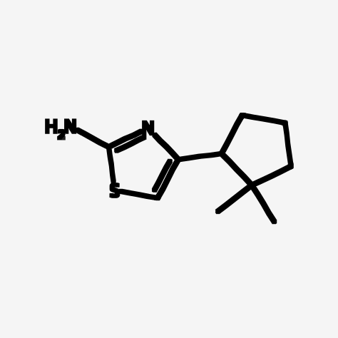 CC1(C)CCCC1c1csc(N)n1